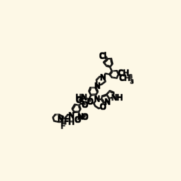 CC1(C)CCC(CN2CCN(c3ccc(C(=O)NS(=O)(=O)c4ccc(NCCN5C6CCCC5C(F)(F)C6)c([N+](=O)[O-])c4)c(N4CCCOc5nc6[nH]ccc6cc54)c3)CC2)=C(c2ccc(Cl)cc2)C1